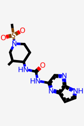 CC1CN(S(C)(=O)=O)CCC1NC(=O)Nc1cnc2[nH]ccc2n1